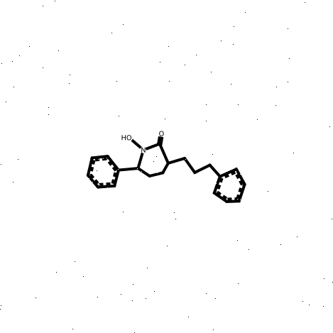 O=C1C(CCCc2ccccc2)CCC(c2ccccc2)N1O